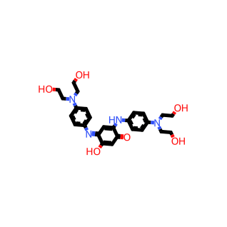 O=C1C=C(O)/C(=N/c2ccc(N(CCO)CCO)cc2)C=C1Nc1ccc(N(CCO)CCO)cc1